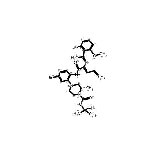 C=C/C=C(\N=C(/C)c1c(F)cccc1OC)C(=O)Nc1ccc(Br)cc1N1CCN(C(=O)OC(C)(C)C)[C@@H](C)C1